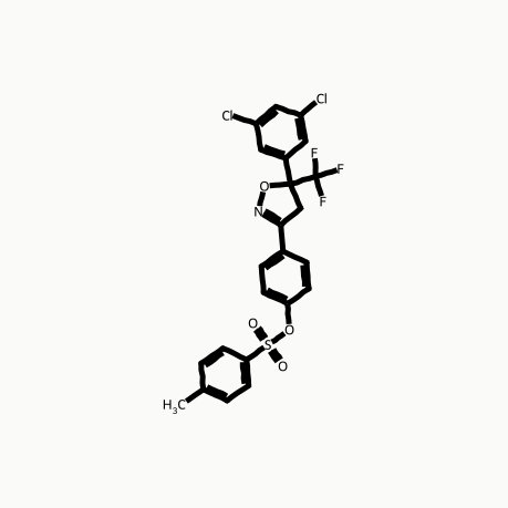 Cc1ccc(S(=O)(=O)Oc2ccc(C3=NOC(c4cc(Cl)cc(Cl)c4)(C(F)(F)F)C3)cc2)cc1